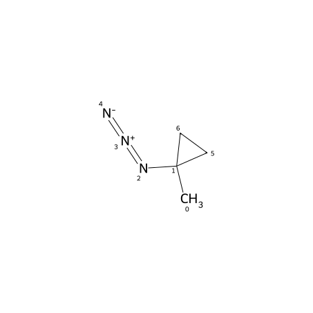 CC1(N=[N+]=[N-])CC1